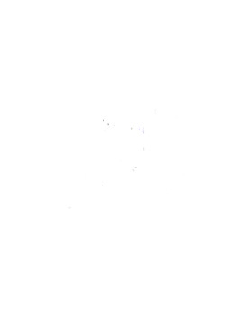 O=[PH]([O-])OCOc1cccc2cccnc12.[Na+]